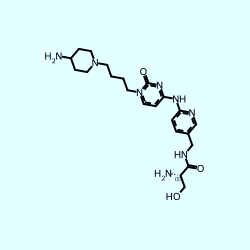 NC1CCN(CCCCn2ccc(Nc3ccc(CNC(=O)[C@@H](N)CO)cn3)nc2=O)CC1